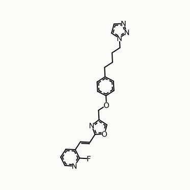 Fc1ncccc1C=Cc1nc(COc2ccc(CCCCn3ccnn3)cc2)co1